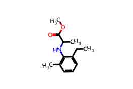 CCc1cccc(C)c1NC(C)C(=O)OC